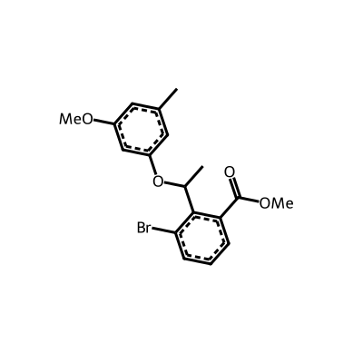 COC(=O)c1cccc(Br)c1C(C)Oc1cc(C)cc(OC)c1